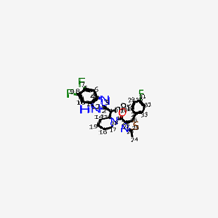 CCCC(c1nc2cc(F)c(F)cc2[nH]1)C1CCCCN1C(=O)c1nc(C)sc1-c1ccc(F)cc1